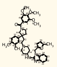 COc1cc(C(=O)N2CCC(CCN3CCC(Nc4nc5ccccc5n4Cc4ccc(C)o4)CC3)(c3ccc(C)c(C)c3)C2)cc(OC)c1OC